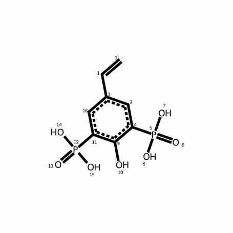 C=Cc1cc(P(=O)(O)O)c(O)c(P(=O)(O)O)c1